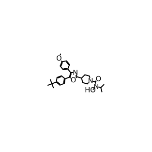 COc1ccc(-c2nc(C3CCN(C(=O)N(O)C(C)C)CC3)oc2-c2ccc(C(C)(C)C)cc2)cc1